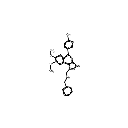 COc1cc2c(-c3ccc(O)cc3)nc3[nH]nc(CNCc4ccccc4)c3c2cc1OC